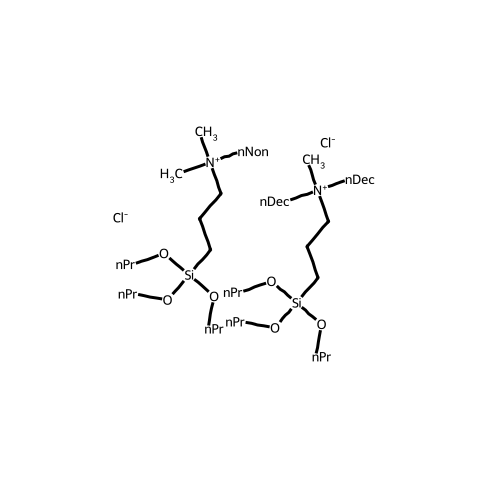 CCCCCCCCCC[N+](C)(CCCCCCCCCC)CCC[Si](OCCC)(OCCC)OCCC.CCCCCCCCC[N+](C)(C)CCC[Si](OCCC)(OCCC)OCCC.[Cl-].[Cl-]